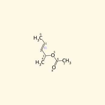 C/C=C/C(C)OC(C)=O